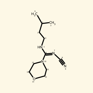 CC(C)CCN/C(=N/C#N)N1CCOCC1